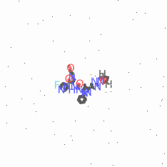 COCCN1C[C@@H](NC(=O)Nc2c(C)c(-c3cnc(N4C[C@H]5C[C@@H](C4)O5)nc3)nn2-c2ccccc2)[C@H](c2ccnc(F)c2)O1